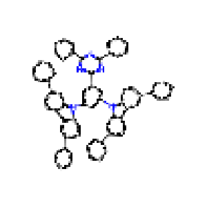 c1ccc(-c2ccc3c(c2)c2ccc(-c4ccccc4)cc2n3-c2cc(-c3nc(-c4ccccc4)nc(-c4ccccc4)n3)cc(-n3c4ccc(-c5ccccc5)cc4c4ccc(-c5ccccc5)cc43)c2)cc1